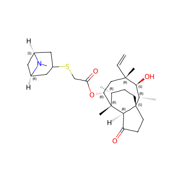 C=C[C@@]1(C)C[C@@H](OC(=O)CSC2C[C@@H]3C[C@H](C2)N3C)[C@]2(C)[C@H](C)CC[C@]3(CCC(=O)[C@H]32)[C@@H](C)[C@@H]1O